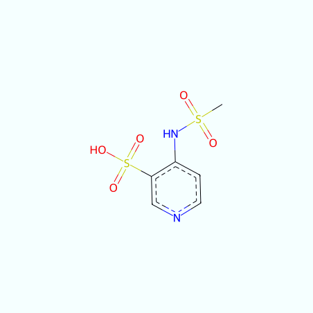 CS(=O)(=O)Nc1ccncc1S(=O)(=O)O